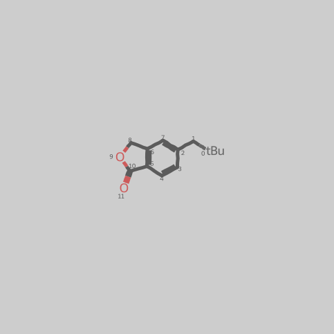 CC(C)(C)Cc1ccc2c(c1)COC2=O